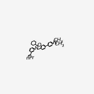 CCC/C=C/c1cccc(N(Cc2ccc(-c3ccc(N(C)C)cc3)cc2)C(=O)C2CCCCC2)c1